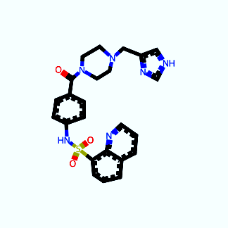 O=C(c1ccc(NS(=O)(=O)c2cccc3cccnc23)cc1)N1CCN(Cc2c[nH]cn2)CC1